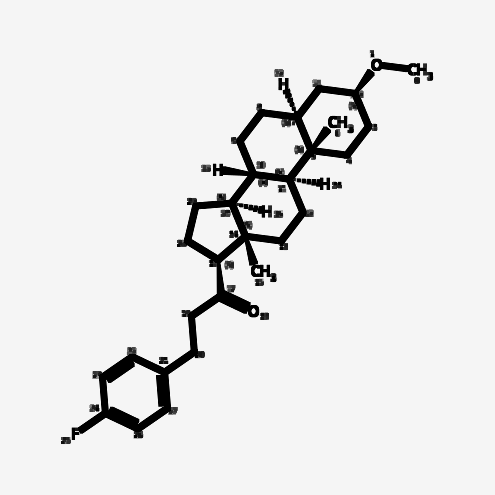 CO[C@H]1CC[C@@]2(C)[C@@H](CC[C@@H]3[C@@H]2CC[C@]2(C)[C@@H](C(=O)CCc4ccc(F)cc4)CC[C@@H]32)C1